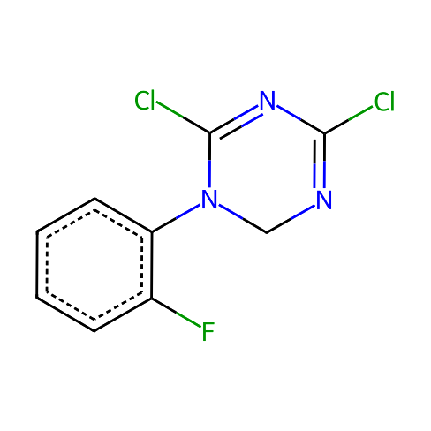 Fc1ccccc1N1CN=C(Cl)N=C1Cl